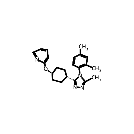 Cc1ccc(-n2c(C)nnc2[C@H]2CC[C@H](Oc3ccccn3)CC2)c(C)c1